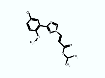 COc1ccc(Cl)cc1-c1ncn(C=CC(=O)OC(C)C)n1